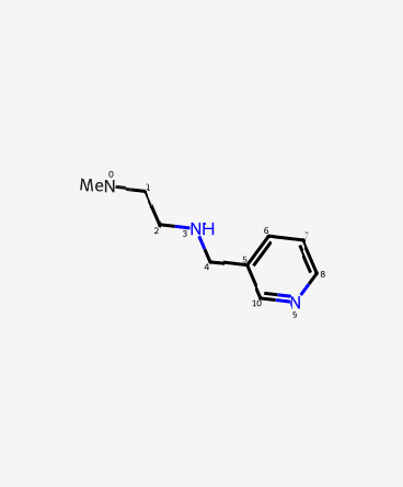 CNCCNCc1cccnc1